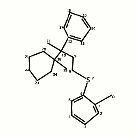 Cc1ccccc1SCCC(C)(c1ccccc1)C1(C)CCCCC1